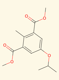 COC(=O)c1cc(OC(C)C)cc(C(=O)OC)c1C